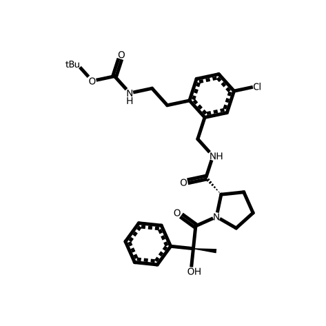 CC(C)(C)OC(=O)NCCc1ccc(Cl)cc1CNC(=O)[C@@H]1CCCN1C(=O)[C@](C)(O)c1ccccc1